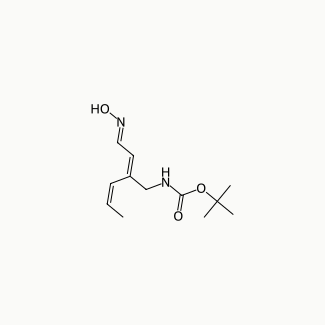 C\C=C/C(=C\C=N\O)CNC(=O)OC(C)(C)C